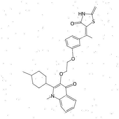 C=c1[nH]c(=O)/c(=C(/C)c2cccc(OCCOc3c(C4CCC(C)CC4)n(C)c4ccccc4c3=O)c2)s1